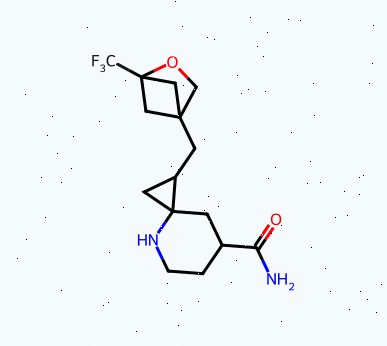 NC(=O)C1CCNC2(C1)CC2CC12COC(C(F)(F)F)(C1)C2